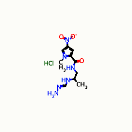 CC(CNC(=O)c1cc([N+](=O)[O-])cn1C)NC=NN.Cl